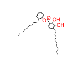 CCCCCCCCCc1ccccc1OC(=O)c1ccc(CCCCCCCCC)c(O)c1O